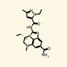 CC[C@H]1CN(C)c2cc(C(N)=O)cc3nc(NC(=O)c4cc(C)nn4CC)n1c23